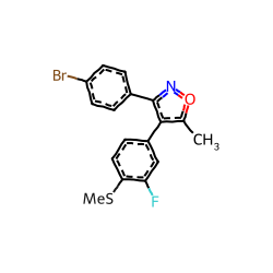 CSc1ccc(-c2c(-c3ccc(Br)cc3)noc2C)cc1F